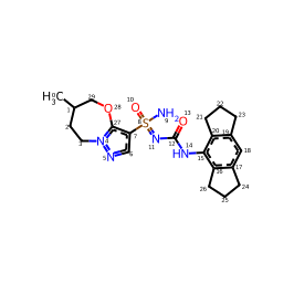 CC1CCn2ncc(S(N)(=O)=NC(=O)Nc3c4c(cc5c3CCC5)CCC4)c2OC1